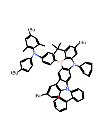 Cc1cc(C(C)(C)C)cc(C)c1N(c1ccc(C(C)(C)C)cc1)c1ccc2c(c1)C(C)(C)c1cc(C(C)(C)C)cc3c1B2c1cc2c4cc(C(C)(C)C)ccc4n(-c4ccccc4-c4ccccc4)c2cc1N3c1ccccc1